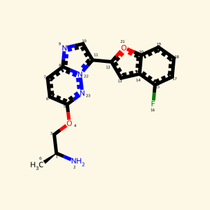 C[C@H](N)COc1ccc2ncc(-c3cc4c(F)cccc4o3)n2n1